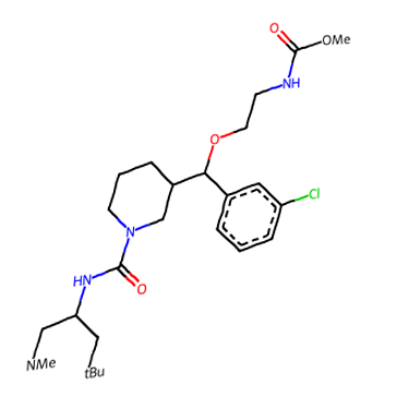 CNCC(CC(C)(C)C)NC(=O)N1CCCC(C(OCCNC(=O)OC)c2cccc(Cl)c2)C1